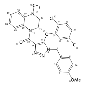 COc1ccc(Cn2nnc(C(=O)N3CCN(C)c4ccccc43)c2Oc2cc(Cl)ccc2Cl)cc1